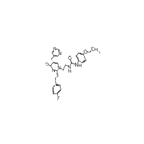 CCOc1ccc(NC(=O)NCCn2cc(Cc3cncnc3)c(=O)nc2SCc2ccc(F)cc2)cc1